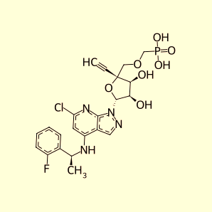 C#C[C@]1(COCP(=O)(O)O)O[C@@H](n2ncc3c(N[C@@H](C)c4ccccc4F)cc(Cl)nc32)[C@H](O)[C@@H]1O